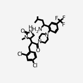 CC(C)CC(N)c1cc(C(F)(F)F)ccc1N1CCN(C(=O)C(Cc2ccc(Cl)cc2Cl)C2CNC(=O)N2C)CC1